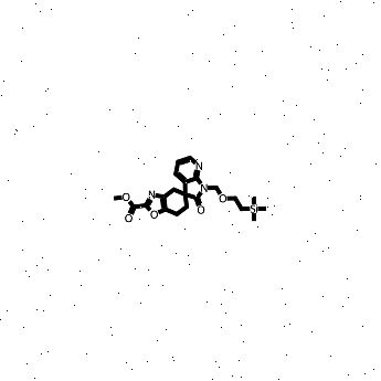 COC(=O)c1nc2c(o1)CCC1(C2)C(=O)N(COCC[Si](C)(C)C)c2ncccc21